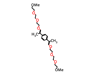 COCCOCCOCCO/C=C(\C)c1ccc(/C(C)=C/OCCOCCOCCOC)cc1